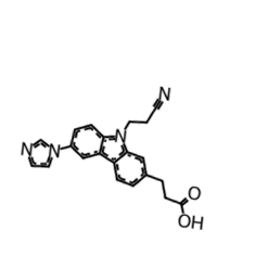 N#CCCn1c2ccc(-n3ccnc3)cc2c2ccc(CCC(=O)O)cc21